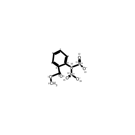 COC(=O)c1ccccc1N([N+](=O)[O-])[N+](=O)[O-]